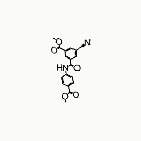 COC(=O)c1ccc(NC(=O)c2cc(C#N)cc(C(=O)OC)c2)cc1